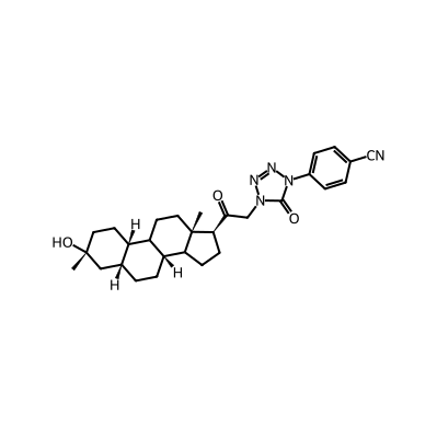 C[C@@]1(O)CC[C@@H]2C3CC[C@@]4(C)C(CC[C@@H]4C(=O)Cn4nnn(-c5ccc(C#N)cc5)c4=O)[C@@H]3CC[C@@H]2C1